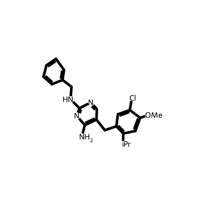 COc1cc(C(C)C)c(Cc2cnc(NCc3ccccc3)nc2N)cc1Cl